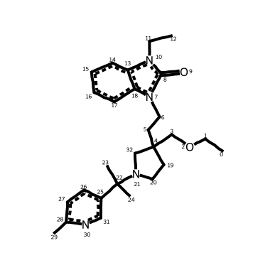 CCOCC1(CCn2c(=O)n(CC)c3ccccc32)CCN(C(C)(C)c2ccc(C)nc2)C1